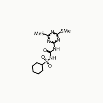 CSc1nc(NC(=O)NS(=O)(=O)C2CCCCC2)nc(SC)n1